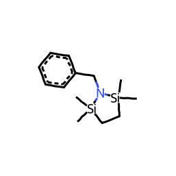 C[Si]1(C)CC[Si](C)(C)N1Cc1ccccc1